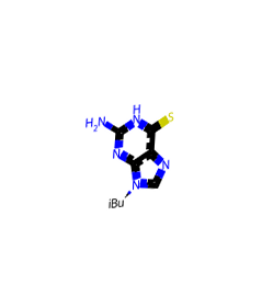 CC[C@@H](C)n1cnc2c(=S)[nH]c(N)nc21